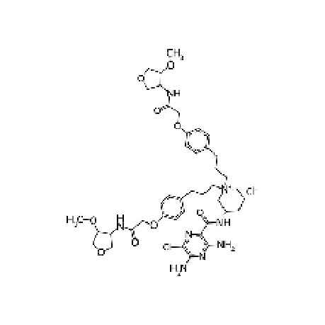 COC1COCC1NC(=O)COc1ccc(CCC[N+]2(CCCc3ccc(OCC(=O)NC4COCC4OC)cc3)CCC[C@H](NC(=O)c3nc(Cl)c(N)nc3N)C2)cc1.[Cl-]